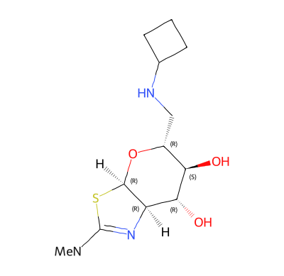 CNC1=N[C@@H]2[C@@H](O)[C@H](O)[C@@H](CNC3CCC3)O[C@@H]2S1